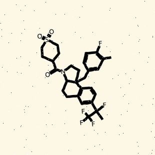 Cc1cc(CC23CCN(C(=O)C4CCS(=O)(=O)CC4)C2CCc2cc(C(C)(F)C(F)(F)F)ccc23)ccc1F